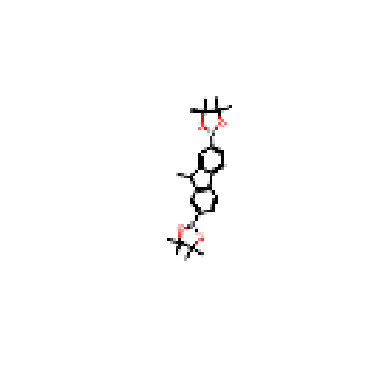 CC1c2cc(B3OC(C)(C)C(C)(C)O3)ccc2-c2ccc(B3OC(C)(C)C(C)(C)O3)cc21